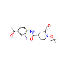 CC(=O)c1ccc(NC(=O)C2CCN(OC(C)(C)C)C(=C=O)C2)c(I)c1